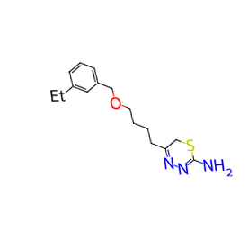 CCc1cccc(COCCCCC2=NN=C(N)SC2)c1